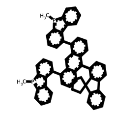 Cp1c2ccccc2c2c(-c3cccc4c(-c5cccc6c5C5(CCCC5)c5ccccc5-6)c5cccc(-c6cccc7c6c6ccccc6p7C)c5cc34)cccc21